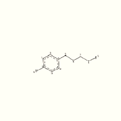 Fc1ccc(CCCCI)cc1